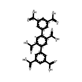 O=C(O)c1cc(C(=O)O)cc(-c2cc(C(=O)O)c(-c3cc(C(=O)O)cc(C(=O)O)c3)cc2C(=O)O)c1